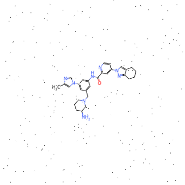 Cc1cn(-c2cc(CN3CCC[C@H](N)C3)cc(NC(=O)c3cc(-n4cc5c(n4)CCCC5)ccn3)c2)cn1